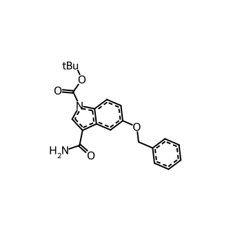 CC(C)(C)OC(=O)n1cc(C(N)=O)c2cc(OCc3ccccc3)ccc21